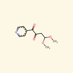 COC(CC(=O)C(=O)c1ccncc1)OC